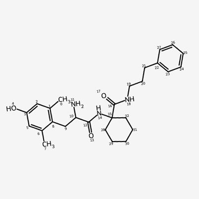 Cc1cc(O)cc(C)c1CC(N)C(=O)NC1(C(=O)NCCCc2ccccc2)CCCCC1